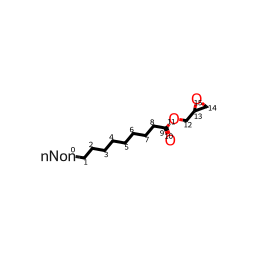 CCCCCCCCCCCCCCCCCC(=O)OCC1CO1